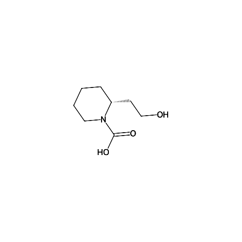 O=C(O)N1CCCC[C@@H]1CCO